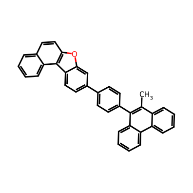 Cc1c(-c2ccc(-c3ccc4c(c3)oc3ccc5ccccc5c34)cc2)c2ccccc2c2ccccc12